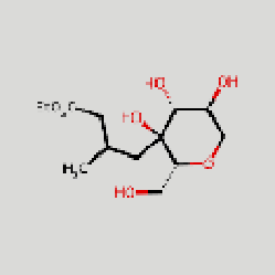 CCOC(=O)CC(C)C[C@]1(O)[C@H](O)[C@@H](O)CO[C@@H]1CO